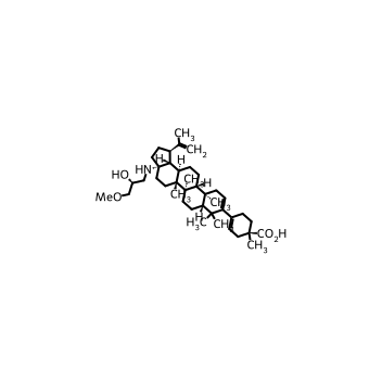 C=C(C)[C@@H]1CC[C@]2(NC[C@H](O)COC)CC[C@]3(C)[C@H](CC[C@@H]4[C@@]5(C)CC=C(C6=CC[C@](C)(C(=O)O)CC6)C(C)(C)[C@@H]5CC[C@]43C)[C@@H]12